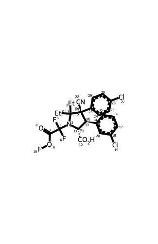 CCC1(CC)N(C(F)(F)C(=O)OF)[C@@H](C(=O)O)[C@H](c2cccc(Cl)c2)[C@@]1(C#N)c1ccc(Cl)cc1